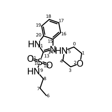 C1COCCN1.CCCNS(=O)(=O)c1nc2ccccc2[nH]1